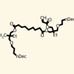 C=CC(=O)OCC(CC)(COCCCCCCCCCCCC)COC(=O)CCCCCCCC(=O)OCC(C)(CC)COCCCCCCCCCCCCC